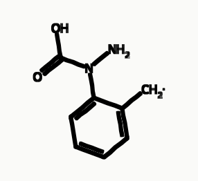 [CH2]c1ccccc1N(N)C(=O)O